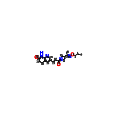 CCCO/N=C(\C)C1CN(C(=O)/C=C/c2cnc3c(c2)CCC(=O)N3)C1